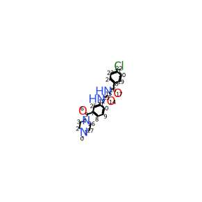 CN1CCN(C(=O)c2cccc(NC(=O)NC(=O)c3ccc(Cl)cc3)c2)CC1